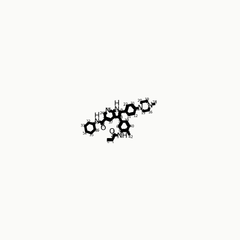 C=CC(=O)Nc1cc(-c2c(-c3ccc(N4CCN(C)CC4)cc3)[nH]c3ncc(C(=O)NC4CCCCC4)cc23)ccc1C